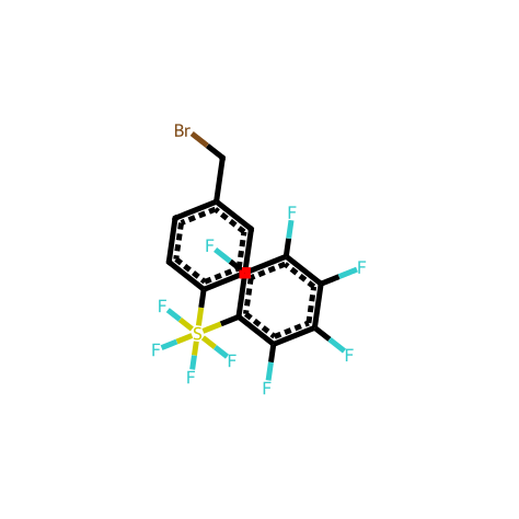 Fc1c(F)c(F)c(S(F)(F)(F)(F)c2ccc(CBr)cc2)c(F)c1F